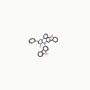 Fc1cc(-c2ccccc2)cc(-c2ccccc2)c1N(c1ccc2oc3ccccc3c2c1)c1ccc2oc3ccccc3c2c1